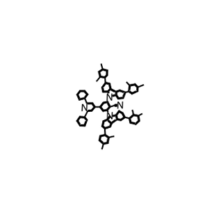 Cc1ccc(-c2ccc3c(c2)c2cc(-c4ccc(C)cc4C)ccc2n3-c2cc(-c3cc(-c4ccccc4)nc(-c4ccccc4)c3)cc(-n3c4ccc(-c5ccc(C)cc5C)cc4c4cc(-c5cccc(C)c5C)ccc43)c2C#N)c(C)c1